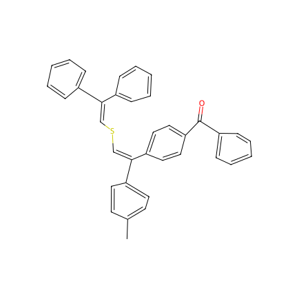 Cc1ccc(C(=CSC=C(c2ccccc2)c2ccccc2)c2ccc(C(=O)c3ccccc3)cc2)cc1